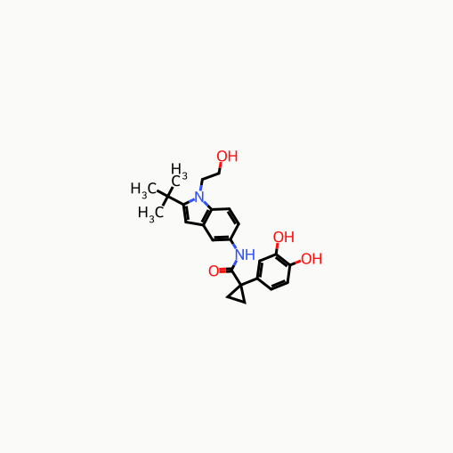 CC(C)(C)c1cc2cc(NC(=O)C3(c4ccc(O)c(O)c4)CC3)ccc2n1CCO